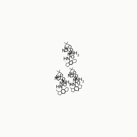 CC1CCc2cc3c(c(NC(=O)N=S(N)(=O)c4cnn5c4OCC(C)(C)C5)c21)CCC3.C[C@@H]1CCc2cc3c(c(NC(=O)N=S(N)(=O)c4cnn5c4OCC(C)(C)C5)c21)CCC3.C[C@H]1CCc2cc3c(c(NC(=O)N=S(N)(=O)c4cnn5c4OCC(C)(C)C5)c21)CCC3